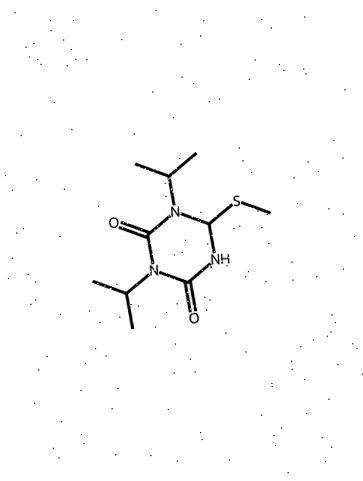 CSC1NC(=O)N(C(C)C)C(=O)N1C(C)C